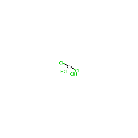 Cl.Cl.[Cl][Cu][Cl]